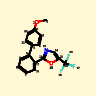 COc1ccc(-c2ccccc2-c2ncc(C(F)(F)F)o2)cc1